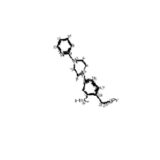 Cc1cc(N2CCN(c3ccccn3)CC2)ccc1CC(C)C